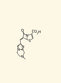 CN1CCn2cc(/C=C3/C(=O)N4C(C(=O)O)=CSC34)nc2C1